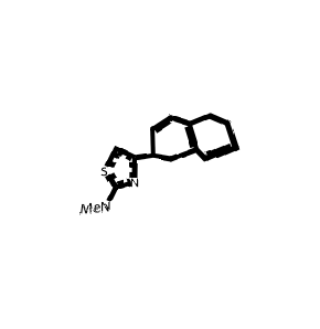 CNc1nc(C2C=CC3=C(C=CCC3)C2)cs1